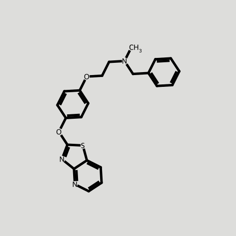 CN(CCOc1ccc(Oc2nc3ncccc3s2)cc1)Cc1ccccc1